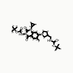 CC(C)(C)OC(=O)NCC1CCN(c2cc3c(cc2F)c(=O)n(NC(=O)OC(C)(C)C)c(=O)n3C2CC2)C1